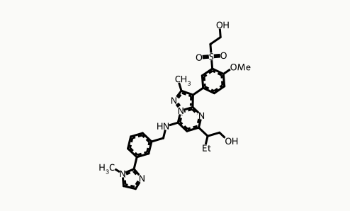 CCC(CO)c1cc(NCc2cccc(-c3nccn3C)c2)n2nc(C)c(-c3ccc(OC)c(S(=O)(=O)CCO)c3)c2n1